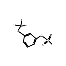 CS(=O)(=O)Oc1cccc(OC(F)(F)F)c1